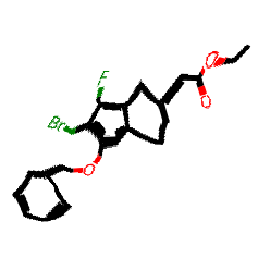 CCOC(=O)C=C1CCc2cc(OCc3ccccc3)c(Br)c(F)c2C1